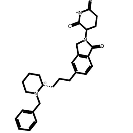 O=C1CCC(N2Cc3cc(CCC[C@H]4CCCCN4Cc4ccccc4)ccc3C2=O)C(=O)N1